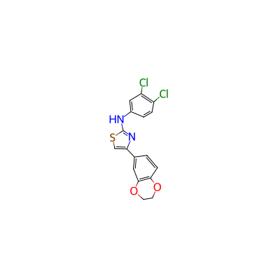 Clc1ccc(Nc2nc(-c3ccc4c(c3)OCCO4)cs2)cc1Cl